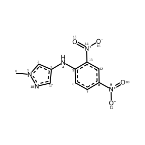 Cn1cc(Nc2ccc([N+](=O)[O-])cc2[N+](=O)[O-])cn1